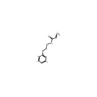 C=CC(=O)OOCCc1ccccc1